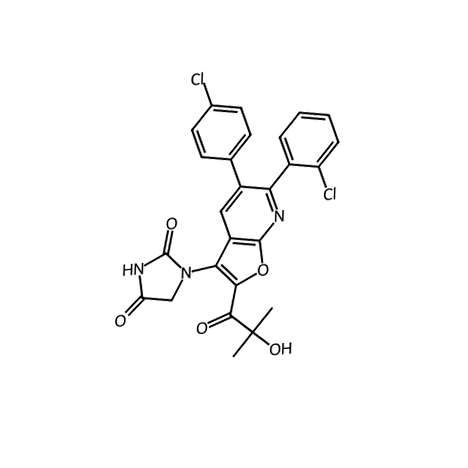 CC(C)(O)C(=O)c1oc2nc(-c3ccccc3Cl)c(-c3ccc(Cl)cc3)cc2c1N1CC(=O)NC1=O